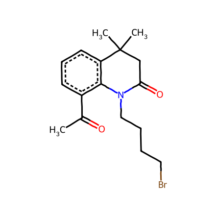 CC(=O)c1cccc2c1N(CCCCBr)C(=O)CC2(C)C